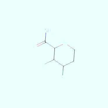 NC(=O)C1OCCC(F)C1F